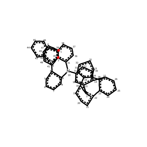 c1ccc(-c2ccccc2N(c2ccc3c(c2)-c2c4cccc2-c2cccc-3c2-c2ccccc2-4)c2cccc3c2sc2ccccc23)cc1